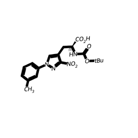 Cc1cccc(-n2cc(C[C@H](NC(=O)OC(C)(C)C)C(=O)O)c([N+](=O)[O-])n2)c1